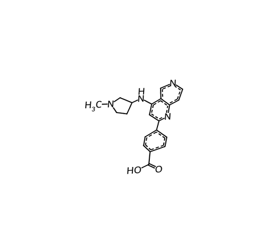 CN1CCC(Nc2cc(-c3ccc(C(=O)O)cc3)nc3ccncc23)C1